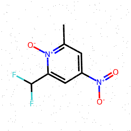 Cc1cc([N+](=O)[O-])cc(C(F)F)[n+]1[O-]